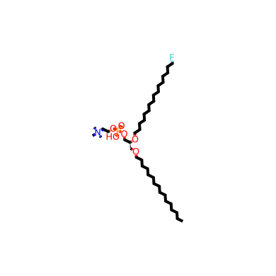 CCCCCCCCCCCCCCCCOC[C@H](COP(=O)(O)OCC[N+](C)(C)C)OCCCCCCCCCCCCCCCCF